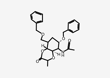 CC(=O)NC1[C@@H](OCc2ccccc2)CC(COCc2ccccc2)[C@H]2OC(=O)C(C)O[C@H]12